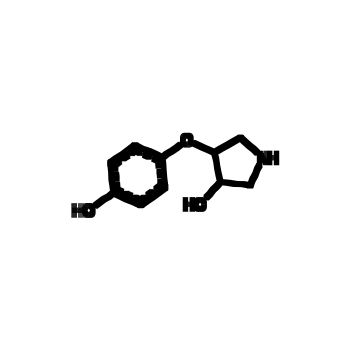 Oc1ccc(OC2CNCC2O)cc1